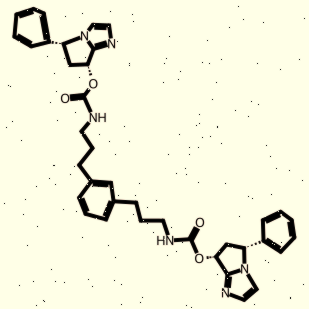 O=C(NCCCc1cccc(CCCNC(=O)O[C@@H]2C[C@H](c3ccccc3)n3ccnc32)c1)O[C@@H]1C[C@H](c2ccccc2)n2ccnc21